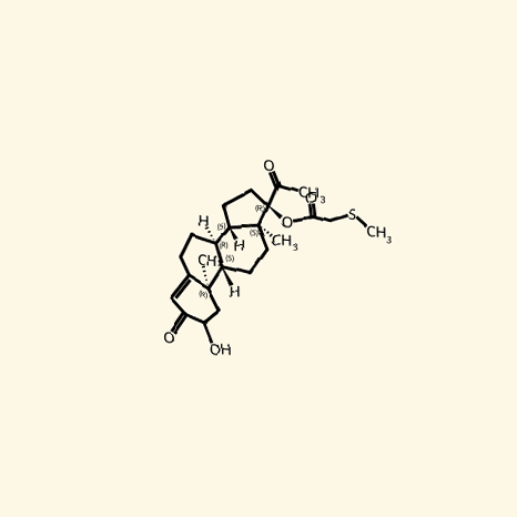 CSCC(=O)O[C@]1(C(C)=O)CC[C@H]2[C@@H]3CCC4=CC(=O)C(O)C[C@]4(C)[C@H]3CC[C@@]21C